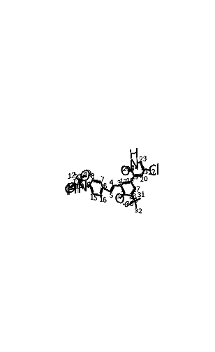 COc1c(/C=C/c2ccc(NS(C)(=O)=O)cc2)cc(-c2cc(Cl)c[nH]c2=O)cc1C(C)(C)C